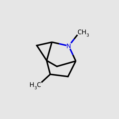 CC1CC2CC13CC3N2C